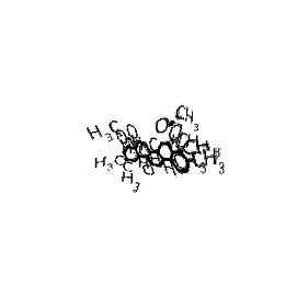 COC(=O)[C@]12CCC(C)(C)C[C@H]1[C@H]1C(=O)C[C@@H]3[C@@]4(C)CC[C@H](C)C(C)(C)[C@@H]4[C@H](OC(C)=O)C[C@@]3(C)[C@]1(C)CC2